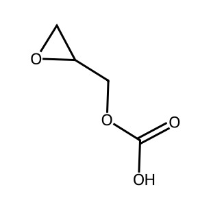 O=C(O)OCC1CO1